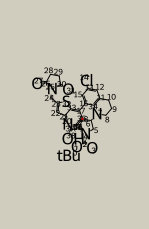 CC(C)(C)OC(=O)N1CC(N2CCCc3cc(Cl)cc(-c4ccnc5cc(CN6C(=O)CCC6=O)sc45)c32)C[C@@H]1CO